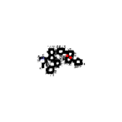 C=Cc1c(/C=C\C)c2c3ccccc3ccc2n1-c1ccccc1-c1ccc(N(c2ccc(-c3ccccc3)cc2)c2ccccc2-c2ccccc2)cc1